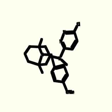 COc1ccc(CN2C3(C)CCCC2(C)CC(N(C)c2ccc(Cl)nn2)C3)cc1